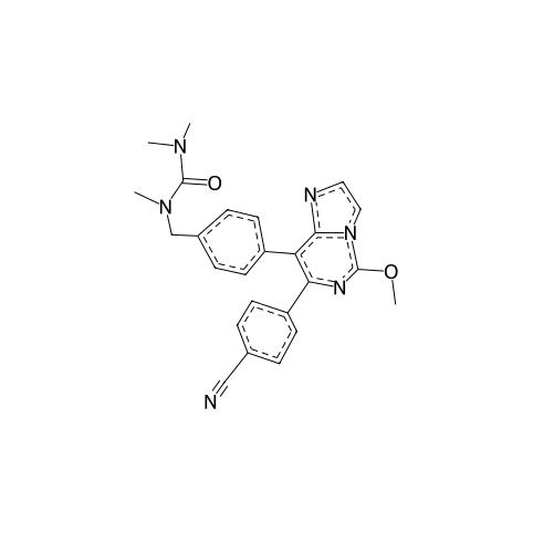 COc1nc(-c2ccc(C#N)cc2)c(-c2ccc(CN(C)C(=O)N(C)C)cc2)c2nccn12